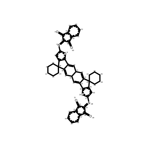 O=c1c(=Nc2cc3c(s2)C2=CC4C=C5C(=CC4C=C2C32CCCCC2)c2sc(N=c3c(=O)c4ccccc4c3=O)cc2C52CCCCC2)c(=O)c2ccccc12